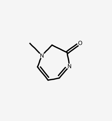 CN1C=CC=NC(=O)C1